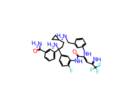 N=C(/C=C(\Nc1cccc(CN)c1)C(=O)Nc1cc(C(N)(CCC2CC2)c2cccc(C(N)=O)c2)ccc1F)C(F)(F)F